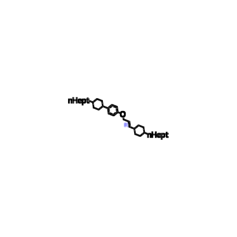 CCCCCCCC1CCC(/C=C/COc2ccc(C3CCC(CCCCCCC)CC3)cc2)CC1